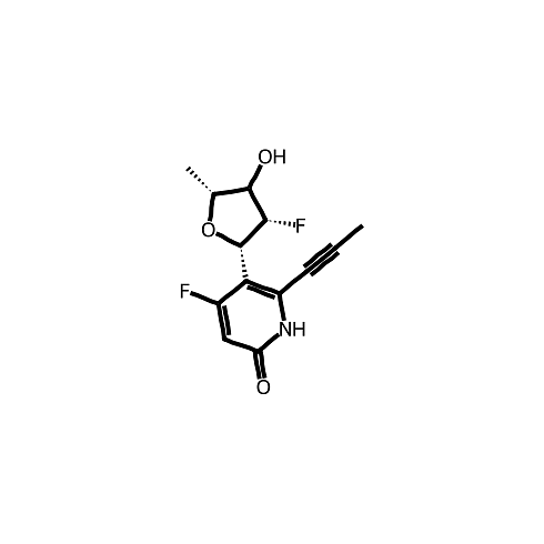 CC#Cc1[nH]c(=O)cc(F)c1[C@@H]1O[C@H](C)C(O)[C@@H]1F